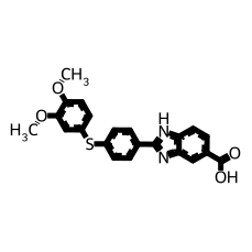 COc1ccc(Sc2ccc(-c3nc4cc(C(=O)O)ccc4[nH]3)cc2)cc1OC